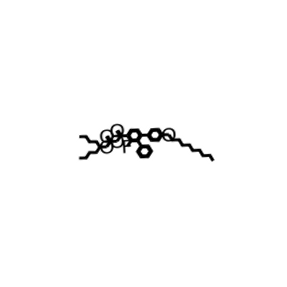 CCCCCCCCCOc1ccc(-c2ccc(C(=O)OC(=O)OC(CCCC)CCCC)c(F)c2-c2ccccc2)cc1